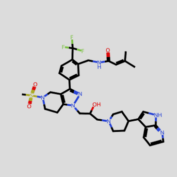 CC(C)=CC(=O)NCc1cc(-c2nn(CC(O)CN3CCC(c4c[nH]c5ncccc45)CC3)c3c2CN(S(C)(=O)=O)CC3)ccc1C(F)(F)F